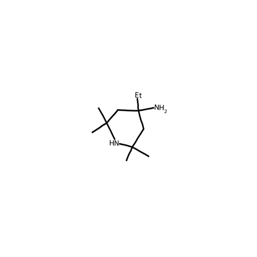 CCC1(N)CC(C)(C)NC(C)(C)C1